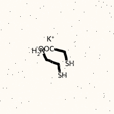 NCCS.O=C([O-])CS.[K+]